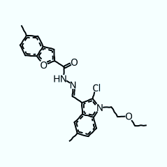 CCOCCn1c(Cl)c(C=NNC(=O)c2cc3cc(C)ccc3o2)c2cc(C)ccc21